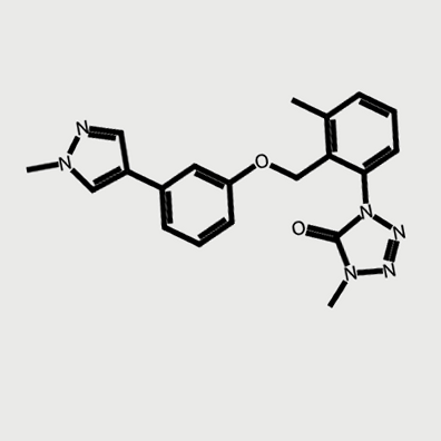 Cc1cccc(-n2nnn(C)c2=O)c1COc1cccc(-c2cnn(C)c2)c1